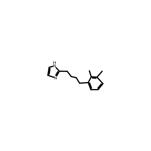 Cc1cccc(CCCCc2ncc[nH]2)c1C